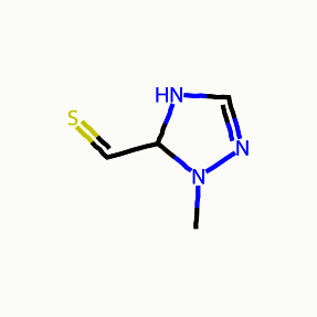 CN1N=CNC1C=S